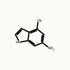 N#Cc1cc([N+](=O)[O-])cc2[nH]ccc12